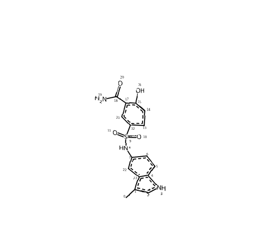 Cc1c[nH]c2ccc(NS(=O)(=O)c3ccc(O)c(C(N)=O)c3)cc12